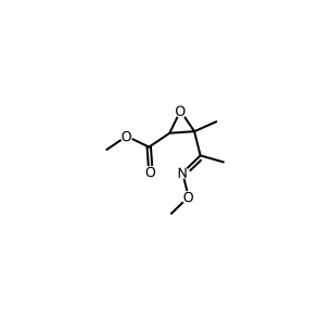 CON=C(C)C1(C)OC1C(=O)OC